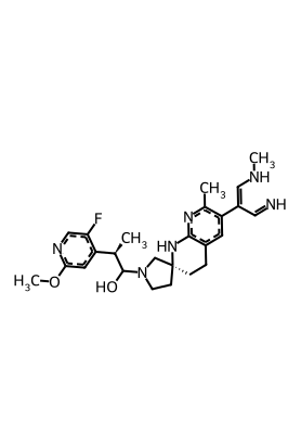 CN/C=C(\C=N)c1cc2c(nc1C)N[C@@]1(CC2)CCN(C(O)[C@H](C)c2cc(OC)ncc2F)C1